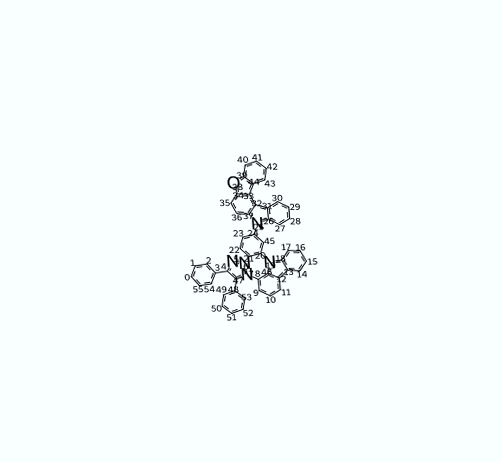 c1ccc(-c2nnn(-c3cccc4c5ccccc5n(-c5cccc(-n6c7ccccc7c7c8c(ccc76)oc6ccccc68)c5)c34)c2-c2ccccc2)cc1